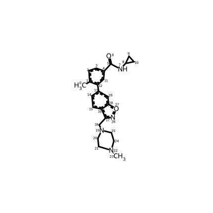 Cc1ccc(C(=O)NC2CC2)cc1-c1ccc2c(CN3CCN(C)CC3)noc2c1